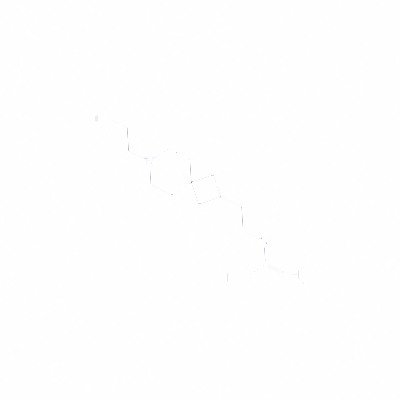 C=C(C)NCCC1CC2(CCN(CCC(C)C)CC2)C1